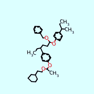 CCC(C)c1ccc(OC(CCC(CC)c2ccc(OC(C)OCCC3CCCCC3)cc2)OCc2ccccc2)cc1